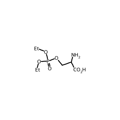 CCOP(=O)(OCC)OCC(N)C(=O)O